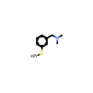 CC[CH]Sc1cccc(CN(C)C)c1